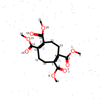 COC(=O)/C1=C(\C(=O)OC)CC/C(C(=O)OC)=C(/C(=O)OC)CC1